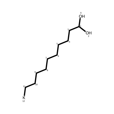 OC(O)CCCCCCCC[CH2][K]